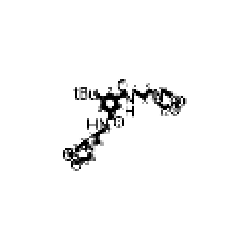 CC(C)(C)c1cc(C(=O)NCCCN2CCS(=O)(=O)CC2)cc(C(=O)NCCCN2CCS(=O)(=O)CC2)c1